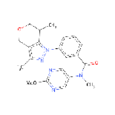 COc1ncc(N(C)C(=O)c2cccc(-n3nc(C(F)(F)F)c4c3C(C)COC4)c2)cn1